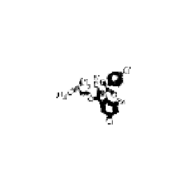 Cc1c(OCCN(C)C)c2cc(Cl)cc(Br)c2n1S(=O)(=O)c1ccc(Cl)cc1